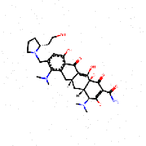 CN(C)c1c(CN2CCC[C@@H]2CCO)cc(O)c2c1C[C@H]1C[C@H]3[C@H](N(C)C)C(O)=C(C(N)=O)C(=O)[C@@]3(O)C(O)=C1C2=O